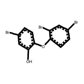 Oc1cc(Br)ccc1Oc1ccc(Br)cc1Br